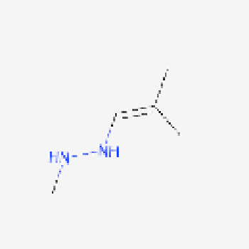 CNNC=C(C)C